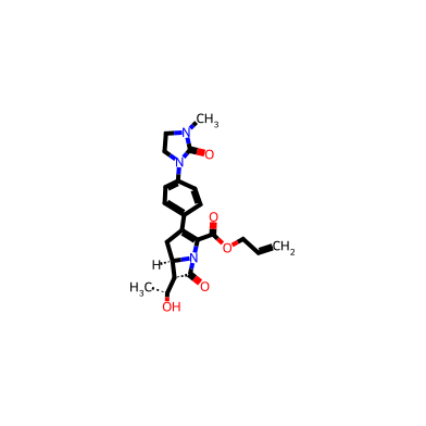 C=CCOC(=O)C1=C(c2ccc(N3CCN(C)C3=O)cc2)C[C@@H]2[C@@H]([C@@H](C)O)C(=O)N12